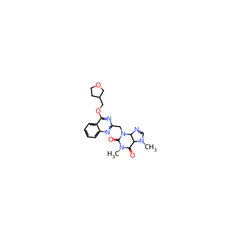 CN1C(=O)C2C(N=CN2C)N(Cc2nc(OCC3CCOC3)c3ccccc3n2)C1=O